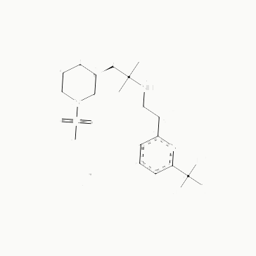 CC(C)(C[C@@H]1CCCN(S(C)(=O)=O)C1)NC[C@H](O)c1cccc(C(F)(F)F)n1.Cl.Cl